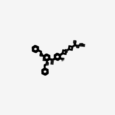 CC(C)(C)OC(=O)[C@H]1C[C@@H](N2CC(c3ccc(Nc4ccc(OCc5ccccc5)nc4OCc4ccccc4)cc3F)C2)C1